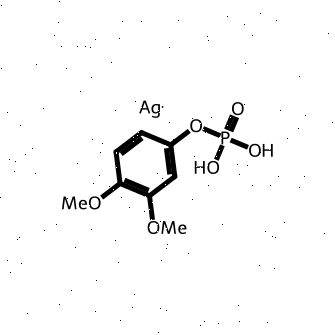 COc1ccc(OP(=O)(O)O)cc1OC.[Ag]